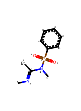 CC/C(=N\C)N(C)S(=O)(=O)c1ccccc1